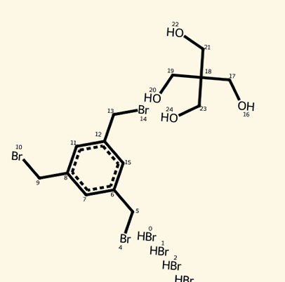 Br.Br.Br.Br.BrCc1cc(CBr)cc(CBr)c1.OCC(CO)(CO)CO